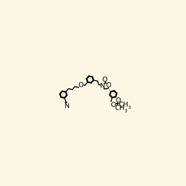 CC1(C)OCc2cc([C@@H]3CN(CCc4cccc(COCCCCc5cccc(C#N)c5)c4)C(=O)O3)ccc2O1